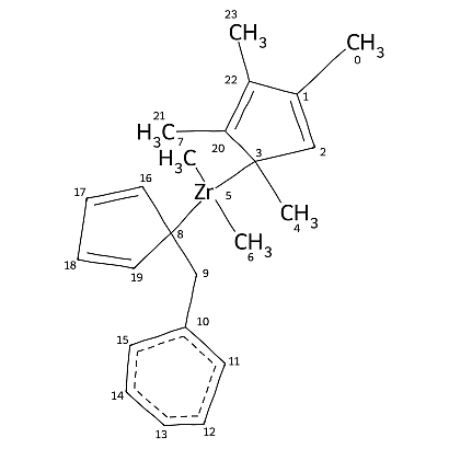 CC1=C[C](C)([Zr]([CH3])([CH3])[C]2(Cc3ccccc3)C=CC=C2)C(C)=C1C